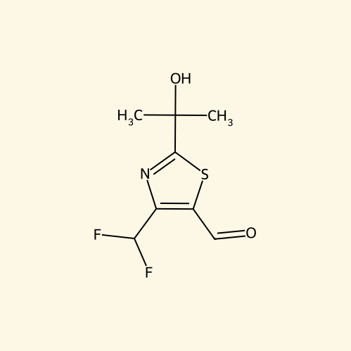 CC(C)(O)c1nc(C(F)F)c(C=O)s1